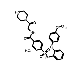 Cl.O=C(NCC(=O)N1CCNCC1)c1ccc(S(=O)(=O)Nc2ccccc2Oc2ccc(OC(F)(F)F)cc2)cc1